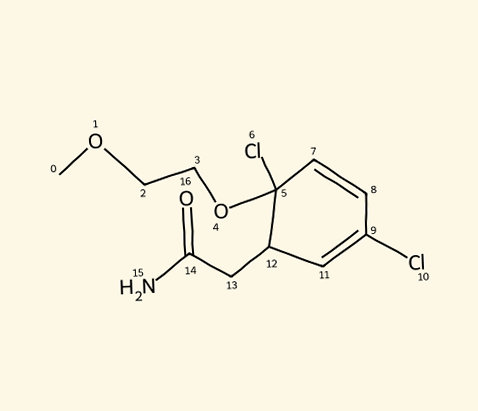 COCCOC1(Cl)C=CC(Cl)=CC1CC(N)=O